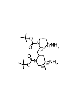 C[C@H]1CN(C(=O)OC(C)(C)C)C(C[C@@H]2C[C@H](N)CCN2C(=O)OC(C)(C)C)C[C@H]1N